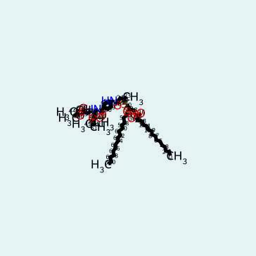 CCCCCCCCCCCCCCCC(=O)OCC(CSC(C)CC(=O)Nc1ccc(C(=O)N[C@@H](CCC(=O)OC(C)(C)C)C(=O)OC(C)(C)C)cc1)OC(=O)CCCCCCCCCCCCCCC